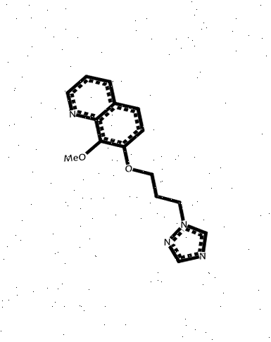 COc1c(OCCCn2cncn2)ccc2[c]ccnc12